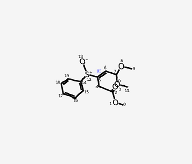 COC(=O)C/C(=C\C(OC)OC)[S+]([O-])c1ccccc1